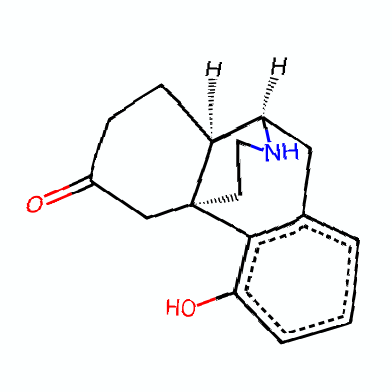 O=C1CC[C@H]2[C@H]3Cc4cccc(O)c4[C@@]2(CCN3)C1